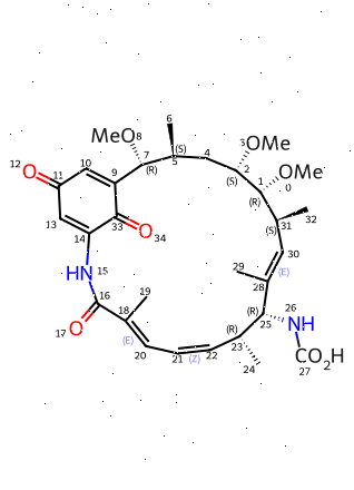 CO[C@H]1[C@@H](OC)C[C@H](C)[C@@H](OC)C2=CC(=O)C=C(NC(=O)/C(C)=C/C=C\[C@@H](C)[C@@H](NC(=O)O)/C(C)=C/[C@@H]1C)C2=O